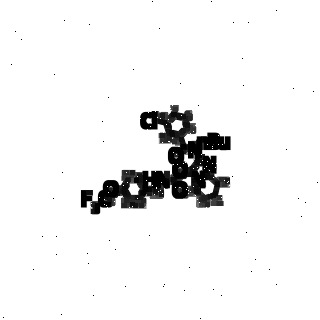 CCCCN(C(=O)c1cccc(Cl)c1)c1nc2n(c1OC(=O)NCc1ccc(OC(F)(F)F)cc1)CCCC2